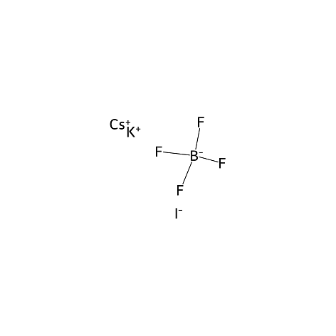 F[B-](F)(F)F.[Cs+].[I-].[K+]